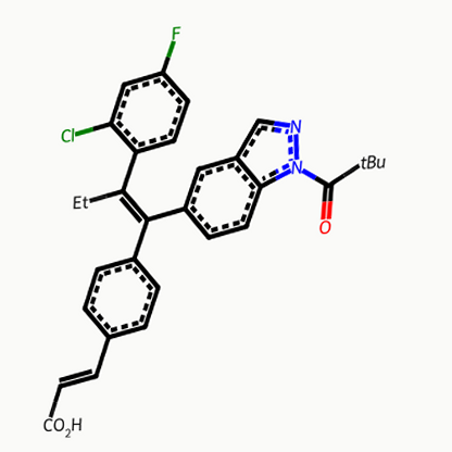 CCC(=C(c1ccc(C=CC(=O)O)cc1)c1ccc2c(cnn2C(=O)C(C)(C)C)c1)c1ccc(F)cc1Cl